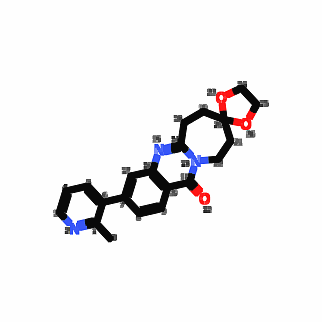 Cc1ncccc1-c1ccc2c(=O)n3c(nc2c1)CCC1(CC3)OCCO1